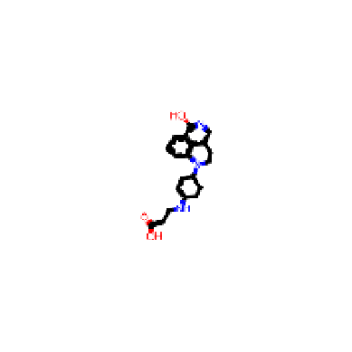 O=C(O)CCNC1CCC(N2CCc3cnc(O)c4cccc2c34)CC1